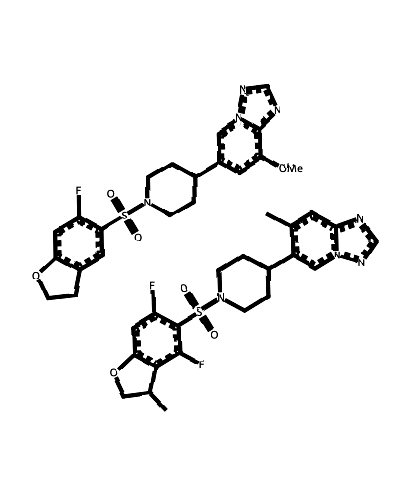 COc1cc(C2CCN(S(=O)(=O)c3cc4c(cc3F)OCC4)CC2)cn2ncnc12.Cc1cc2ncnn2cc1C1CCN(S(=O)(=O)c2c(F)cc3c(c2F)C(C)CO3)CC1